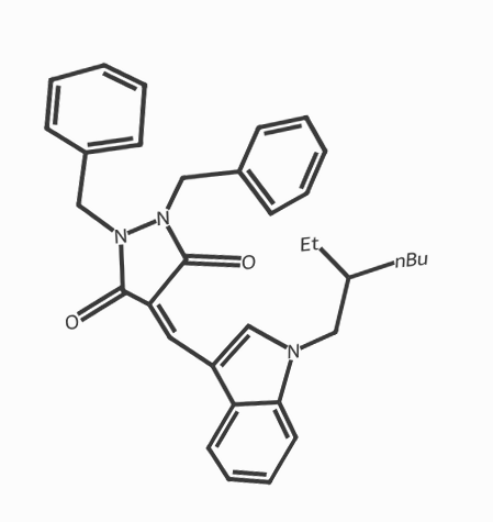 CCCCC(CC)Cn1cc(C=C2C(=O)N(Cc3ccccc3)N(Cc3ccccc3)C2=O)c2ccccc21